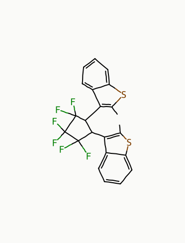 Cc1sc2ccccc2c1C1C(c2c(C)sc3ccccc23)C(F)(F)C(F)(F)C1(F)F